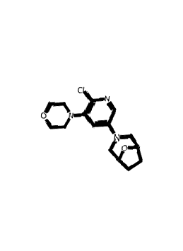 Clc1ncc(N2CC3CCC(C2)O3)cc1N1CCOCC1